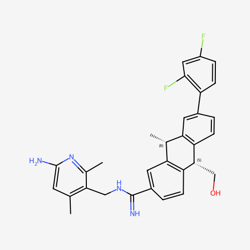 Cc1cc(N)nc(C)c1CNC(=N)c1ccc2c(c1)[C@H](C)c1cc(-c3ccc(F)cc3F)ccc1[C@@H]2CO